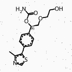 Cc1ncsc1-c1ccc([C@H](COCCO)OC(N)=O)cc1